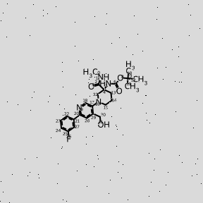 CNC(=O)C1(NC(=O)OC(C)(C)C)CCCN(c2cnc(-c3cccc(F)c3)cc2CO)C1